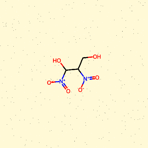 O=[N+]([O-])C(O)C(CO)[N+](=O)[O-]